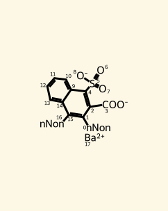 CCCCCCCCCc1c(C(=O)[O-])c(S(=O)(=O)[O-])c2ccccc2c1CCCCCCCCC.[Ba+2]